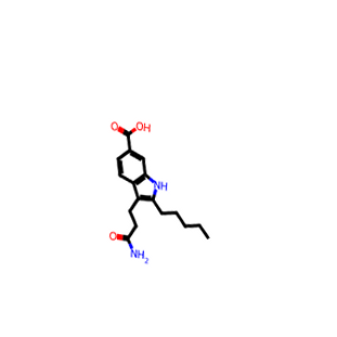 CCCCCc1[nH]c2cc(C(=O)O)ccc2c1CCC(N)=O